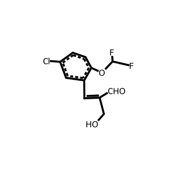 O=C/C(=C\c1cc(Cl)ccc1OC(F)F)CO